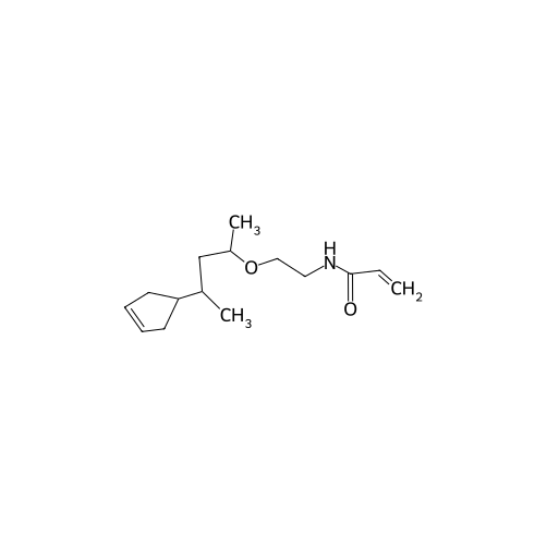 C=CC(=O)NCCOC(C)CC(C)C1CC=CC1